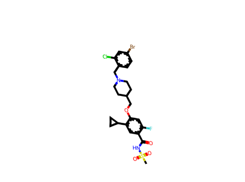 CS(=O)(=O)NC(=O)c1cc(C2CC2)c(OCC2CCN(Cc3ccc(Br)cc3Cl)CC2)cc1F